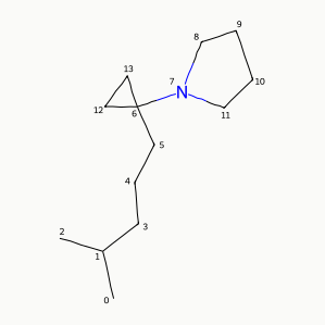 CC(C)CCCC1(N2CCCC2)CC1